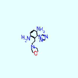 Nc1ccc(N)c(-n2cncn2)c1CCN1CCOCC1